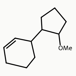 COC1CCCC1C1C=CCCC1